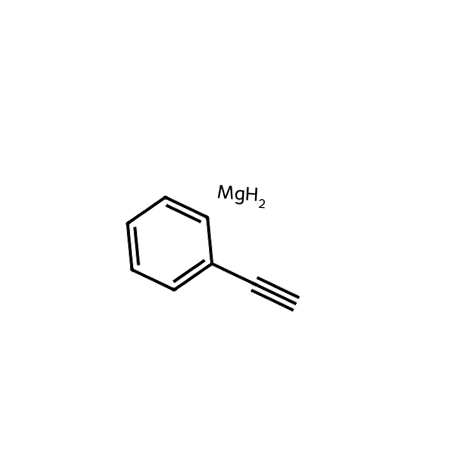 C#Cc1ccccc1.[MgH2]